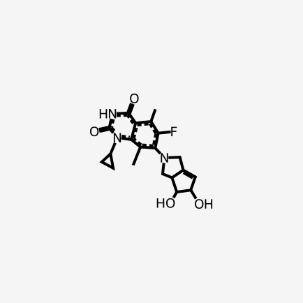 Cc1c(F)c(N2CC3=CC(O)C(O)C3C2)c(C)c2c1c(=O)[nH]c(=O)n2C1CC1